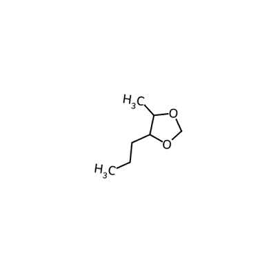 CCCC1OCOC1C